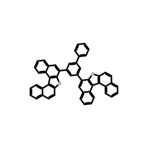 c1ccc(-c2cc(-c3cc4ccccc4c4c3oc3ccc5ccccc5c34)cc(-c3cc4ccccc4c4c3oc3ccc5ccccc5c34)c2)cc1